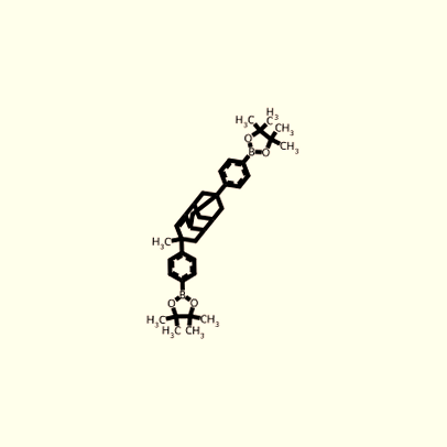 CC1(c2ccc(B3OC(C)(C)C(C)(C)O3)cc2)C=C2C3CC4CC(c5ccc(B6OC(C)(C)C(C)(C)O6)cc5)(C3)CC2C4C1